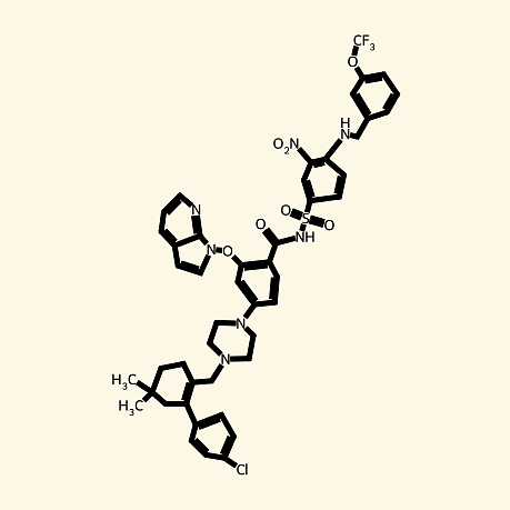 CC1(C)CCC(CN2CCN(c3ccc(C(=O)NS(=O)(=O)c4ccc(NCc5cccc(OC(F)(F)F)c5)c([N+](=O)[O-])c4)c(On4ccc5cccnc54)c3)CC2)=C(c2ccc(Cl)cc2)C1